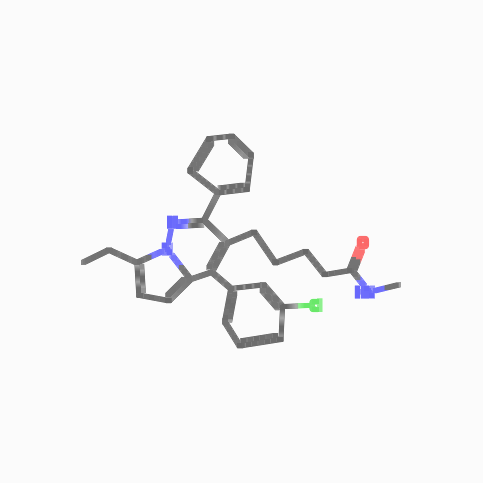 CCc1ccc2c(-c3cccc(Cl)c3)c(CCCCC(=O)NC)c(-c3ccccc3)nn12